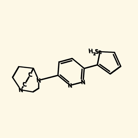 C1=C[SeH2]C(c2ccc(N3CCN4CCC3CC4)nn2)=C1